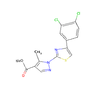 COC(=O)c1cnn(-c2nc(-c3ccc(Cl)c(Cl)c3)cs2)c1C